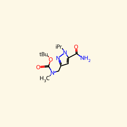 CC(C)n1nc(CN(C)C(=O)OC(C)(C)C)cc1C(N)=O